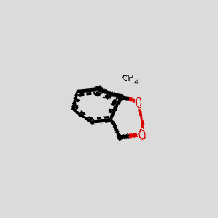 C.c1ccc2c(c1)COO2